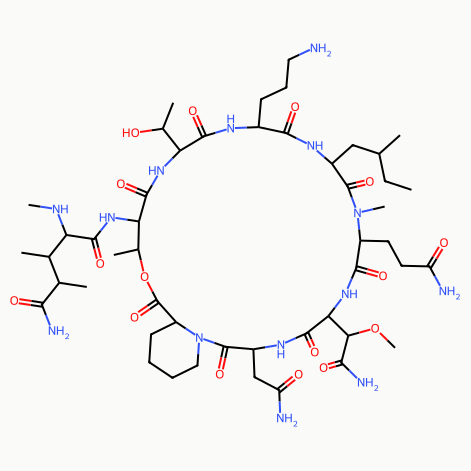 CCC(C)CC1NC(=O)C(CCCN)NC(=O)C(C(C)O)NC(=O)C(NC(=O)C(NC)C(C)C(C)C(N)=O)C(C)OC(=O)C2CCCCN2C(=O)C(CC(N)=O)NC(=O)C(C(OC)C(N)=O)NC(=O)C(CCC(N)=O)N(C)C1=O